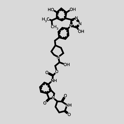 CC(C)c1cc(-c2nnc(O)n2-c2ccc(CC3CCN(C(O)COC(=O)Nc4cccc5c4CN(C4CCC(=O)NC4=O)C5=O)CC3)cc2)c(O)cc1O